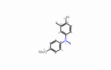 COc1ccc(N(C)c2ccc(C(C)C)c(C)c2)cc1